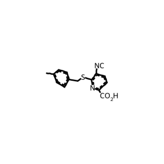 [C-]#[N+]c1ccc(C(=O)O)nc1SCc1ccc(C)cc1